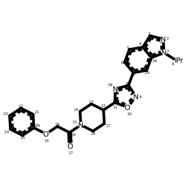 CC(C)n1ncc2ccc(-c3noc(C4CCN(C(=O)COc5ccccc5)CC4)n3)cc21